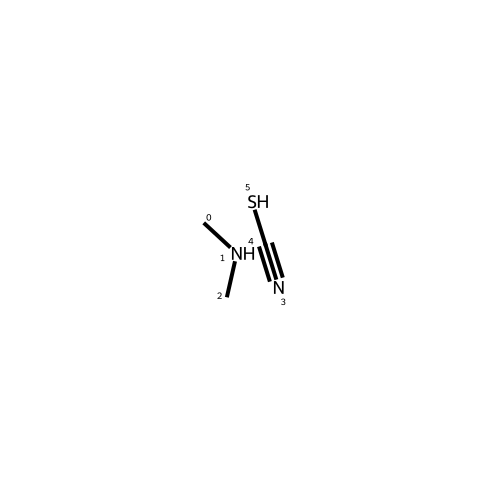 CNC.N#CS